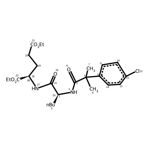 CCCC[C@H](NC(=O)C(C)(C)c1ccc(Cl)cc1)C(=O)N[C@H](CCC(=O)OCC)C(=O)OCC